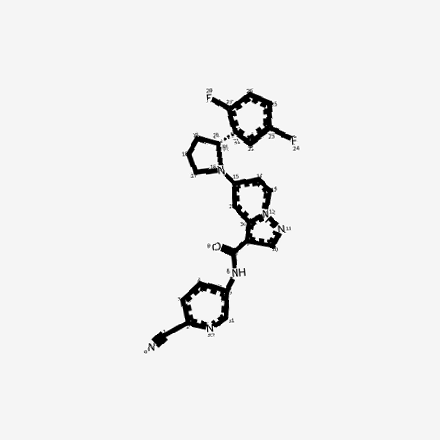 N#Cc1ccc(NC(=O)c2cnn3ccc(N4CCC[C@@H]4c4cc(F)ccc4F)cc23)cn1